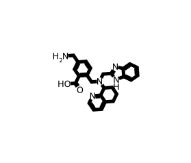 NCc1ccc(CN(Cc2nc3ccccc3[nH]2)C2CCCc3cccnc32)c(C(=O)O)c1